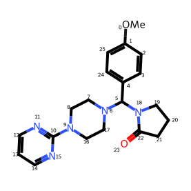 COc1ccc(C(N2CCN(c3ncccn3)CC2)N2CCCC2=O)cc1